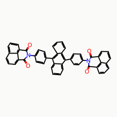 O=C1c2cccc3cccc(c23)C(=O)N1c1ccc(-c2c3ccccc3c(-c3ccc(N4C(=O)c5cccc6cccc(c56)C4=O)cc3)c3ccccc23)cc1